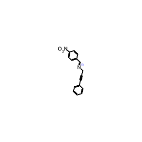 O=[N+]([O-])c1ccc(/C=N/CC#Cc2ccccc2)cc1